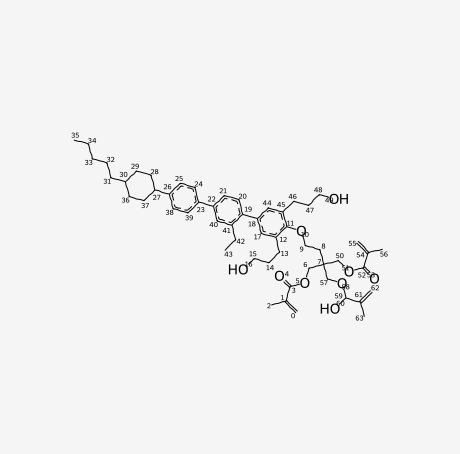 C=C(C)C(=O)OCC(CCOc1c(CCCO)cc(-c2ccc(-c3ccc(C4CCC(CCCCC)CC4)cc3)cc2CC)cc1CCCO)(COC(=O)C(=C)C)COC(O)C(=C)C